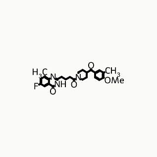 COc1ccc(C(=O)C2CCN(C(=O)CCCc3nc4c(C)cc(F)cc4c(=O)[nH]3)CC2)cc1C